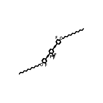 CCCCCCCCCCCCOc1ccc(C#Cc2ccc(C#Cc3ccc(OCCCCCCCCCCCC)c(F)c3)c(C(F)(F)F)c2)cc1F